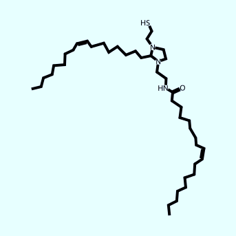 CCCCCCCC/C=C\CCCCCCCC(=O)NCCN1CCN(CCS)C1CCCCCCC/C=C\CCCCCCCC